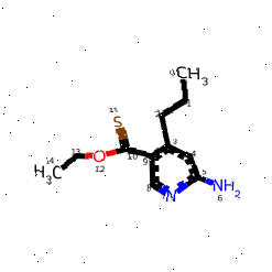 CCCc1cc(N)ncc1C(=S)OCC